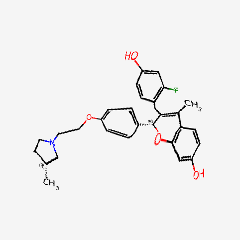 CC1=C(c2ccc(O)cc2F)[C@@H](c2ccc(OCCN3CC[C@@H](C)C3)cc2)Oc2cc(O)ccc21